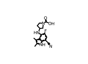 Cc1[nH]c2c(C#N)cc(F)c(NC3CCN(C(=O)O)C3)c2c1C